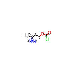 CC1(CCOC(=O)Cl)N=N1